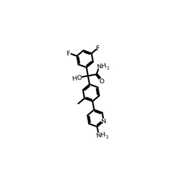 Cc1cc(C(O)(C(N)=O)c2cc(F)cc(F)c2)ccc1-c1ccc(N)nc1